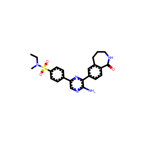 CCN(C)S(=O)(=O)c1ccc(-c2cnc(N)c(-c3ccc4c(c3)CCCNC4=O)n2)cc1